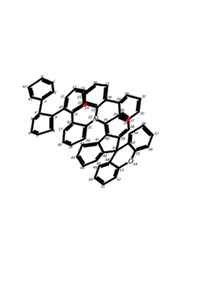 c1ccc(-c2ccccc2-c2ccccc2-c2ccccc2N(c2ccccc2-c2ccccc2)c2cccc3c2-c2ccccc2C32c3ccccc3Oc3ccccc32)cc1